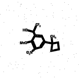 COc1c(C(O)C(F)(F)F)cc(C2(C)CCC2)cc1[N+](=O)[O-]